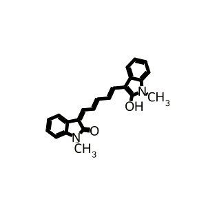 CN1C(=O)C(=CC=CC=Cc2c(O)n(C)c3ccccc23)c2ccccc21